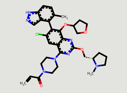 C=CC(=O)N1CCN(c2nc(OC[C@@H]3CCCN3C)nc3c(OC4CCOC4)c(-c4c(C)ccc5[nH]ncc45)c(Cl)cc23)CC1